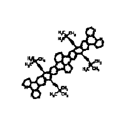 C[Si](C)(C)C#Cc1c2cc3c(cc2c(C#C[Si](C)(C)C)c2cc4c(cc12)c1cccc2c5cc6c(C#C[Si](C)(C)C)c7cc8c(cc7c(C#C[Si](C)(C)C)c6cc5c5cccc4c5c12)c1cccnc1c1ncccc81)c1cccnc1c1ncccc31